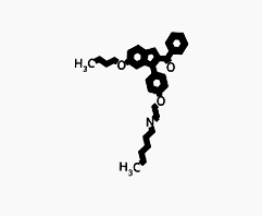 CCCCCCN=CCOc1ccc(C2=C(C(=O)c3ccccc3)Cc3ccc(OCCCC)cc32)cc1